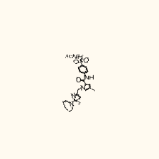 CC(=O)NS(=O)(=O)c1ccc(NC(=O)c2cc(C)cn2Cc2csc(N3CCCCC3)n2)cc1